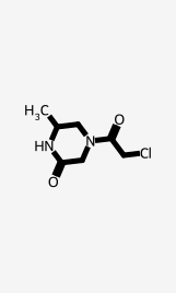 CC1CN(C(=O)CCl)CC(=O)N1